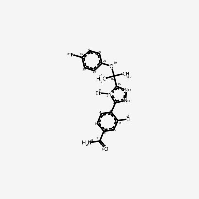 CCn1c(-c2ccc(C(N)=O)cc2Cl)nnc1C(C)(C)Oc1ccc(F)cc1